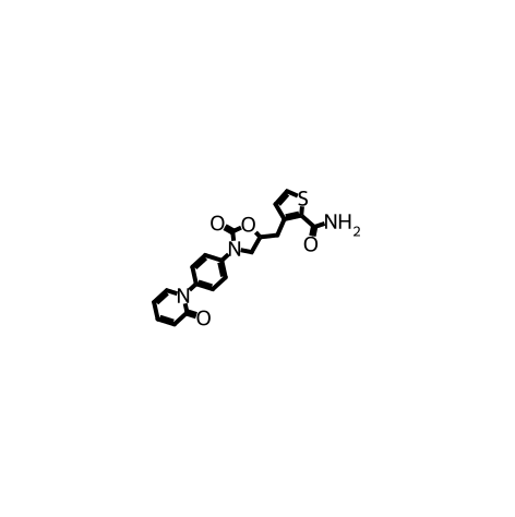 NC(=O)c1sccc1CC1CN(c2ccc(-n3ccccc3=O)cc2)C(=O)O1